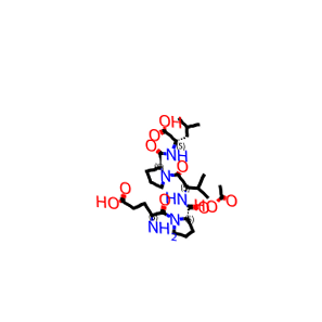 CC(=O)O.CC(C)C[C@H](NC(=O)[C@@H]1CCCN1C(=O)[C@@H](NC(=O)[C@@H]1CCCN1C(=O)[C@@H](N)CCC(=O)O)C(C)C)C(=O)O